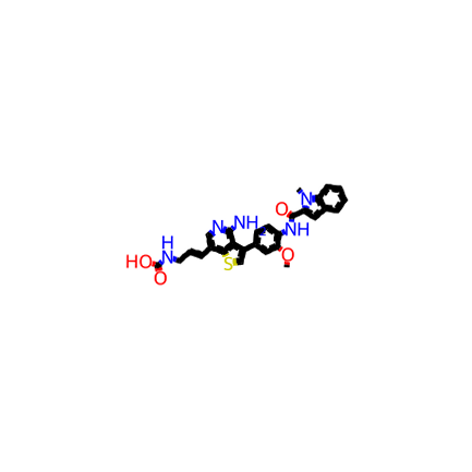 COc1cc(-c2csc3c(/C=C/CNC(=O)O)cnc(N)c23)ccc1NC(=O)c1cc2ccccc2n1C